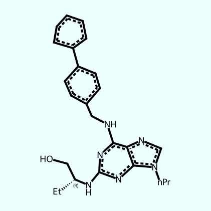 CCCn1cnc2c(NCc3ccc(-c4ccccc4)cc3)nc(N[C@H](CC)CO)nc21